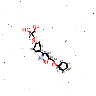 C[C@@](O)(CO)COc1ccc(-c2cc(COc3ccc(F)cc3)on2)cc1